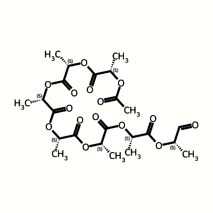 CC(=O)O[C@@H](C)C(=O)O[C@@H](C)C(=O)O[C@@H](C)C(=O)O[C@@H](C)C(=O)O[C@@H](C)C(=O)O[C@@H](C)C(=O)O[C@@H](C)C=O